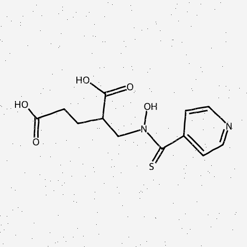 O=C(O)CCC(CN(O)C(=S)c1ccncc1)C(=O)O